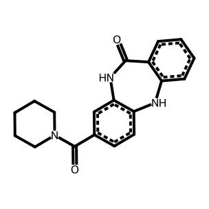 O=C1Nc2cc(C(=O)N3CCCCC3)ccc2Nc2ccccc21